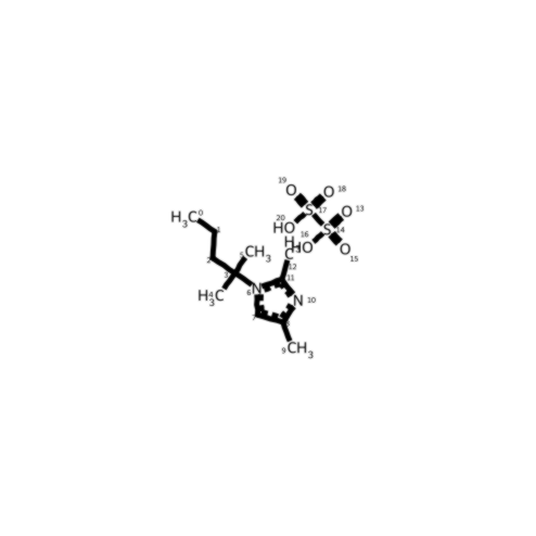 CCCC(C)(C)n1cc(C)nc1C.O=S(=O)(O)S(=O)(=O)O